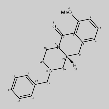 COc1cccc2c1C(=O)N1CCN(Cc3ccccc3)C[C@H]1C2